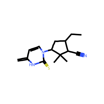 C=C1C=CN(C2CC(CC)C(C#N)C2(C)C)C(=S)N1